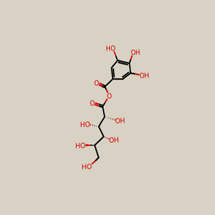 O=C(OC(=O)[C@H](O)[C@@H](O)[C@H](O)[C@H](O)CO)c1cc(O)c(O)c(O)c1